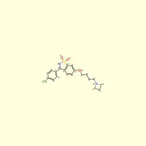 O=S1(=O)N=C(c2ccc(Cl)cc2)c2ccc(OCCCCN3CCC3)cc21